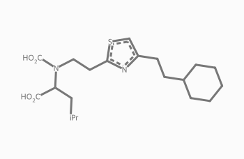 CC(C)CC(C(=O)O)N(CCc1nc(CCC2CCCCC2)cs1)C(=O)O